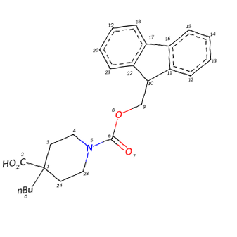 CCCCC1(C(=O)O)CCN(C(=O)OCC2c3ccccc3-c3ccccc32)CC1